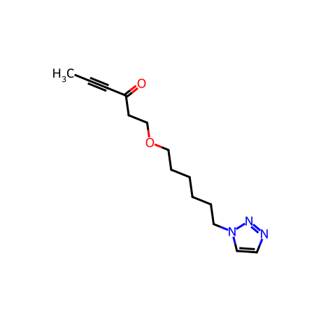 CC#CC(=O)CCOCCCCCCn1ccnn1